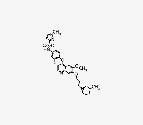 COc1cc2c(Oc3ccc(NS(=O)(=O)c4ccn(C)n4)cc3F)ccnc2cc1OCCCN1CCCC(C)C1